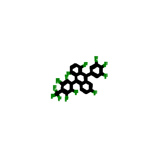 Fc1ccc2c(-c3c(F)c(F)c(C(F)(F)F)c(F)c3F)c3c(F)ccc(F)c3c(-c3cc(F)c(F)c(F)c3)c2c1